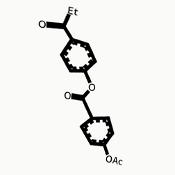 CCC(=O)c1ccc(OC(=O)c2ccc(OC(C)=O)cc2)cc1